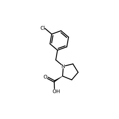 O=C(O)[C@@H]1CCCN1Cc1cccc(Cl)c1